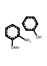 COc1ccccc1N.Oc1ccccc1